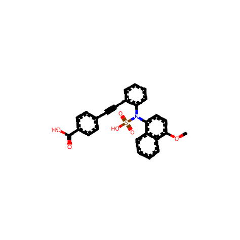 COc1ccc(N(c2ccccc2C#Cc2ccc(C(=O)O)cc2)S(=O)(=O)O)c2ccccc12